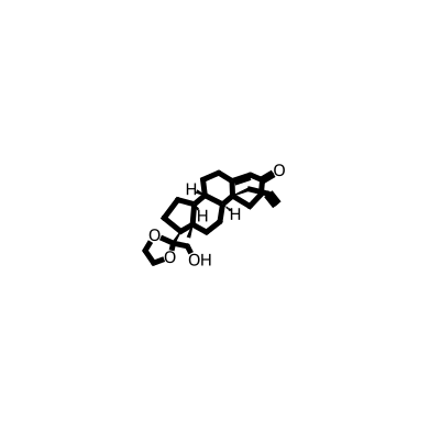 C#CC[C@]12CCC(=O)C=C1CC[C@@H]1[C@@H]2CC[C@]2(C)[C@@H](C3(CO)OCCO3)CC[C@@H]12